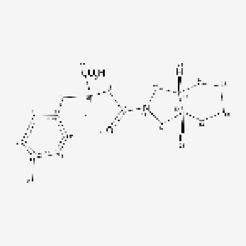 Cc1ccc(CC(C)(CC(=O)N2C[C@H]3CCCC[C@H]3C2)C(=O)O)cc1